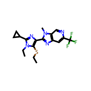 CCSc1c(-c2nc3cc(C(F)(F)F)ncc3n2C)nc(C2CC2)n1CC